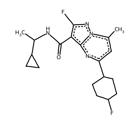 Cc1cc(C2CCC(F)CC2)nc2c(C(=O)NC(C)C3CC3)c(F)nn12